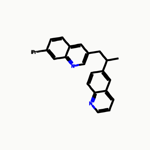 CC(C)c1ccc2cc(CC(C)c3ccc4ncccc4c3)cnc2c1